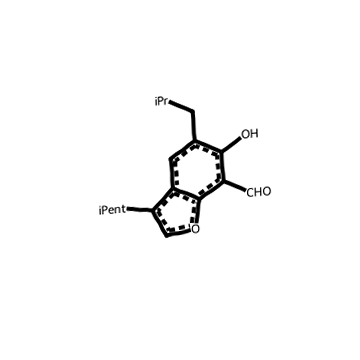 CCCC(C)c1coc2c(C=O)c(O)c(CC(C)C)cc12